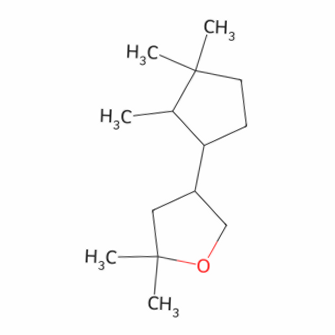 CC1C(C2COC(C)(C)C2)CCC1(C)C